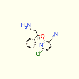 N#Cc1ccc(Cl)nc1O[C@H](CCN)c1ccccc1